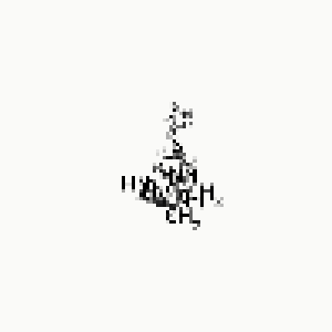 C=C(NC(C)(C)c1ncc2c(SCC3CCCC3)cccn12)C1C2CNCC21